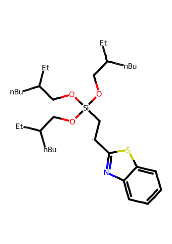 CCCCC(CC)CO[Si](C[CH]c1nc2ccccc2s1)(OCC(CC)CCCC)OCC(CC)CCCC